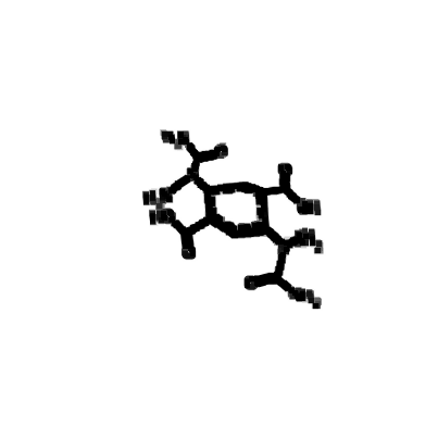 NC(=O)N(N)c1cc(C(=O)O)c(N(N)C(N)=O)cc1C(=O)O